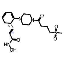 CS(=O)(=O)CCCC(=O)N1CCN(C2=CC=CC[C@H]2/C=C/C(=O)NO)CC1